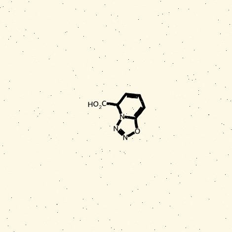 O=C(O)C1C=CC=C2ON=NN21